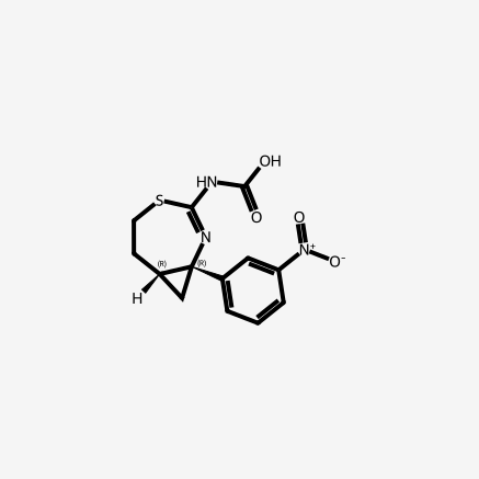 O=C(O)NC1=N[C@]2(c3cccc([N+](=O)[O-])c3)C[C@@H]2CCS1